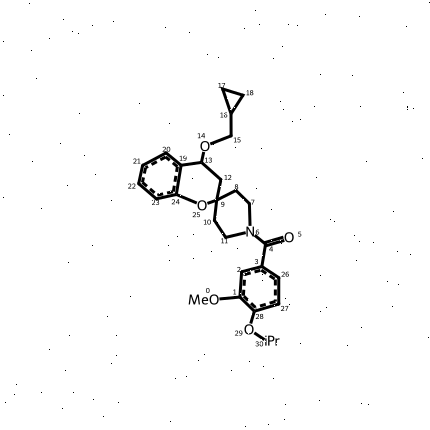 COc1cc(C(=O)N2CCC3(CC2)CC(OCC2CC2)c2ccccc2O3)ccc1OC(C)C